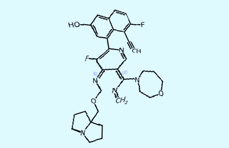 C#Cc1c(F)ccc2cc(O)cc(C3=C(F)C(=N/COCC45CCCN4CCC5)/C(=C(\N=C)N4CCCOCC4)C=N3)c12